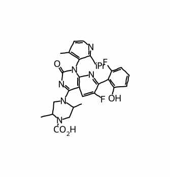 Cc1ccnc(C(C)C)c1-n1c(=O)nc(N2CC(C)N(C(=O)O)CC2C)c2cc(F)c(-c3c(O)cccc3F)nc21